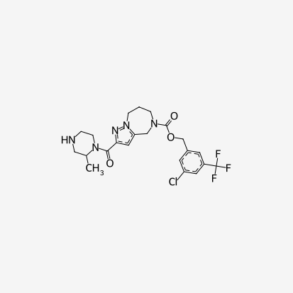 CC1CNCCN1C(=O)c1cc2n(n1)CCCN(C(=O)OCc1cc(Cl)cc(C(F)(F)F)c1)C2